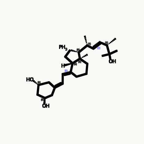 C[C@H](/C=C/[C@H](C)C(C)(C)O)[C@H]1CC[C@H]2/C(=C/C=C3C[C@@H](O)C[C@H](O)C3)CCC[C@]12C.P